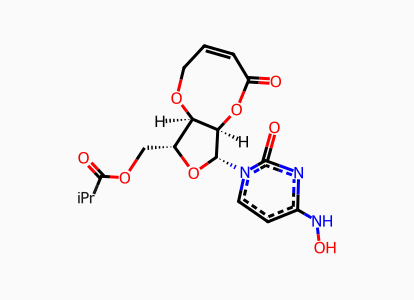 CC(C)C(=O)OC[C@H]1O[C@@H](n2ccc(NO)nc2=O)[C@@H]2OC(=O)/C=C\CO[C@@H]21